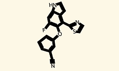 N#Cc1cccc(Oc2c(F)cc3[nH]ccc3c2-c2nccs2)c1